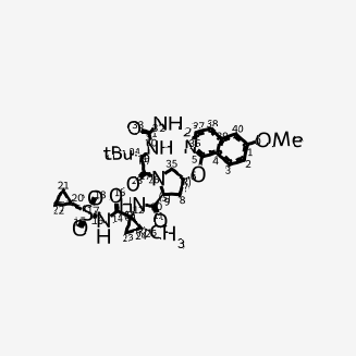 COc1ccc2c(O[C@@H]3C[C@@H](C(=O)N[C@]4(C(=O)NS(=O)(=O)C5CC5)C[C@H]4C)N(C(=O)[C@@H](NC(N)=O)C(C)(C)C)C3)nccc2c1